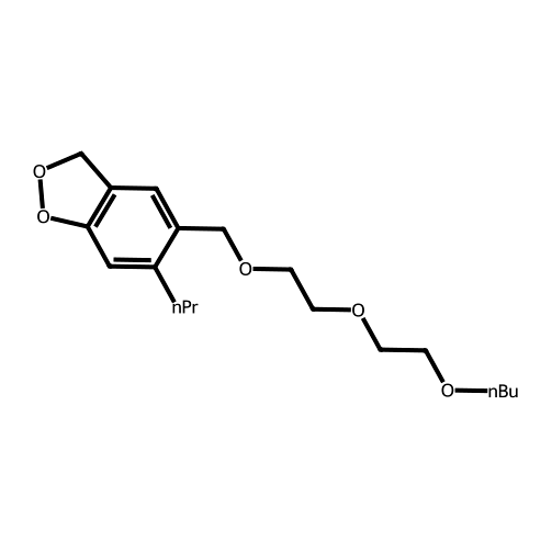 CCCCOCCOCCOCc1cc2c(cc1CCC)OOC2